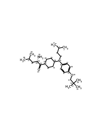 CC(C)CCN(c1ccc(OCC(C)(C)C)cc1)C1CCN(C(=O)[C@@H](N)CC(C)C)CC1